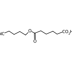 N#CCCCCOC(=O)CCCCC(=O)O